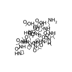 CC(=O)O.CC(C)C[C@H](NC(=O)[C@@H]1CCCN1C(=O)[C@@H](NC(=O)[C@@H]1CCCN1C(=O)[C@H](CCC(=O)O)NC(=O)[C@H](C)NC(=O)[C@H](C)NC(=O)[C@@H]1CCCN1)C(C)C)C(=O)N[C@H](C(=O)N[C@@H](CCCCN)C(=O)N[C@@H](CCC(N)=O)C(=O)N[C@@H](CCC(=O)O)C(=O)O)C(C)C